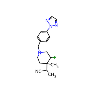 CC(C#N)C1(C)CCN(Cc2ccc(-n3nccn3)cc2)CC1F